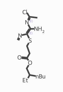 C=N/C(SCCC(=O)OCC(CC)CCCC)=C(N)\N=C(/C)Cl